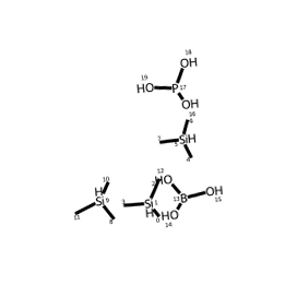 C[SiH](C)C.C[SiH](C)C.C[SiH](C)C.OB(O)O.OP(O)O